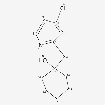 OC1(Cc2cc(Cl)ccn2)CCCCC1